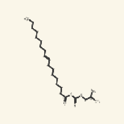 CCCCCCCCC=CCCCCCCCC(=O)OC(=O)OCC(C)C